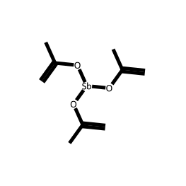 C=C(C)[O][Sb]([O]C(=C)C)[O]C(=C)C